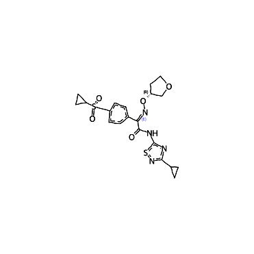 O=C(Nc1nc(C2CC2)ns1)/C(=N/O[C@@H]1CCOC1)c1ccc(S(=O)(=O)C2CC2)cc1